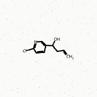 C=CCC(O)c1ccc(Cl)nc1